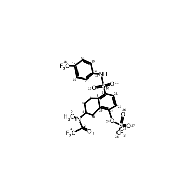 CN(C(=O)C(F)(F)F)C1CCc2c(S(=O)(=O)Nc3ccc(C(F)(F)F)cc3)ccc(OS(=O)(=O)C(F)(F)F)c2C1